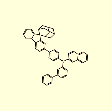 c1ccc(-c2cccc(N(c3ccc(-c4ccc5c(c4)C4(c6ccccc6-5)C5CC6CC(C5)CC4C6)cc3)c3ccc4ccccc4c3)c2)cc1